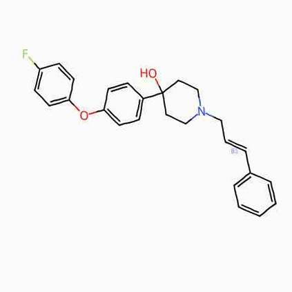 OC1(c2ccc(Oc3ccc(F)cc3)cc2)CCN(C/C=C/c2ccccc2)CC1